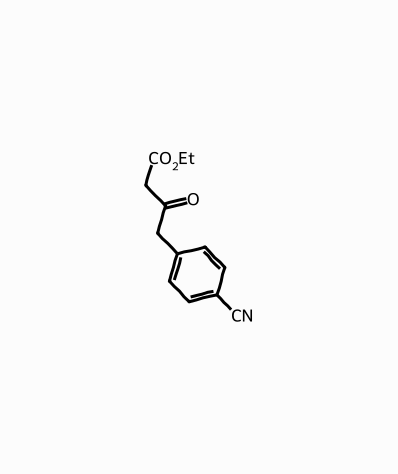 CCOC(=O)CC(=O)Cc1ccc(C#N)cc1